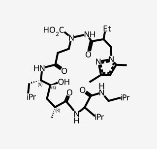 CCC(Cn1nc(C)cc1C)C(=O)NN(CCC(=O)N[C@@H](CC(C)C)[C@@H](O)C[C@@H](C)C(=O)NC(C(=O)NCC(C)C)C(C)C)C(=O)O